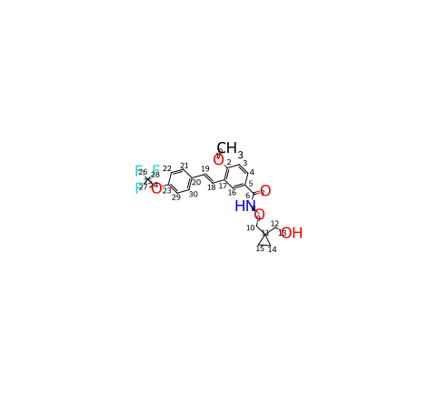 COc1ccc(C(=O)NOCC2(CO)CC2)cc1C=Cc1ccc(OC(F)(F)F)cc1